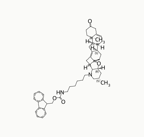 C[C@H]1C[C@H]2O[C@@]34CC[C@@H]5C(=C3C[C@@H]4C2N(CCCCCCNC(=O)OCC2c3ccccc3-c3ccccc32)C1)C[C@H]1[C@H]5CC=C2CC(=O)CC[C@@]21C